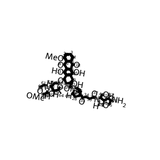 COc1cccc2c1C(=O)c1c(O)c3c(c(O)c1C2=O)C[C@@](O)(C(=O)N1CC2CC[C@@H]1CN2C(=O)CCC(=O)N[C@H]1CO[C@H]2[C@@H]1OC[C@@H]2N)C[C@@H]3O[C@H]1C[C@H]2[C@H](O[C@@H]3[C@@H](OC)OCCN32)[C@H](C)O1